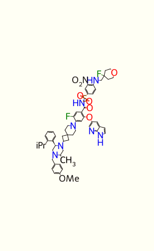 COc1ccc(CN2C[C@@H](c3ccccc3C(C)C)N(C3CC4(CCN(c5cc(Oc6cnc7[nH]ccc7c6)c(C(=O)NS(=O)(=O)c6ccc(NCC7(F)CCOCC7)c([N+](=O)[O-])c6)cc5F)CC4)C3)C[C@H]2C)cc1